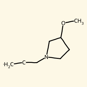 [CH2]CCN1CCC(OC)C1